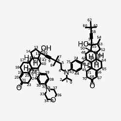 CC(C)N(CCC(C)(C)C#C[C@]1(O)CC[C@H]2[C@@H]3CCC4=CC(=O)CC[C@@H]4[C@H]3[C@@H](c3ccc(N4CCOCC4)cc3)C[C@@]21C)c1ccc([C@H]2C[C@@]3(C)[C@@H](CC(C)[C@@]3(O)C#CC(C)(C)C)[C@@H]3CCC4=CC(=O)CC[C@@H]4[C@H]32)cc1